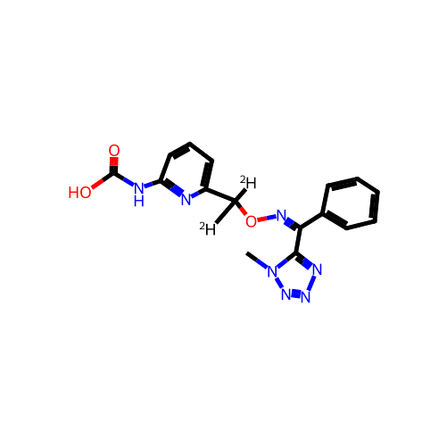 [2H]C([2H])(O/N=C(/c1ccccc1)c1nnnn1C)c1cccc(NC(=O)O)n1